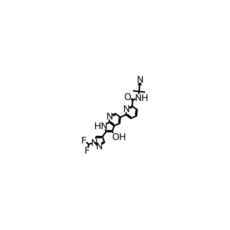 CC(C)(C#N)NC(=O)c1cccc(-c2cnc3[nH]c(-c4cnn(C(F)F)c4)c(O)c3c2)n1